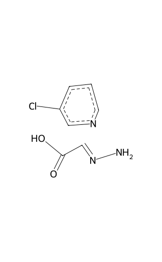 Clc1cccnc1.NN=CC(=O)O